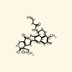 CC[C@@]1(O)C(=O)OCc2c1cc1n(c2=O)Cc2c-1nc1cc(F)c(C)c3c1c2[C@@H](NC(=O)CCS)CC3